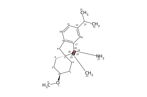 CO[C@H]1CC[C@]2(CC1)Cc1ccc(C(C)C)cc1C21N=C(N)N(C)O1